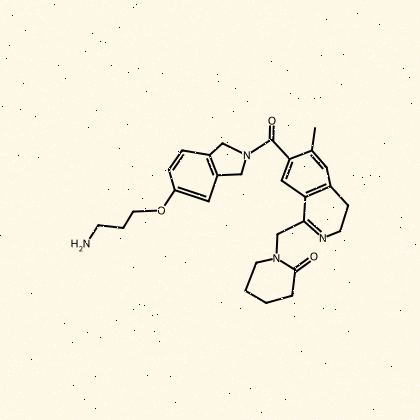 Cc1cc2c(cc1C(=O)N1Cc3ccc(OCCCN)cc3C1)C(CN1CCCCC1=O)=NCC2